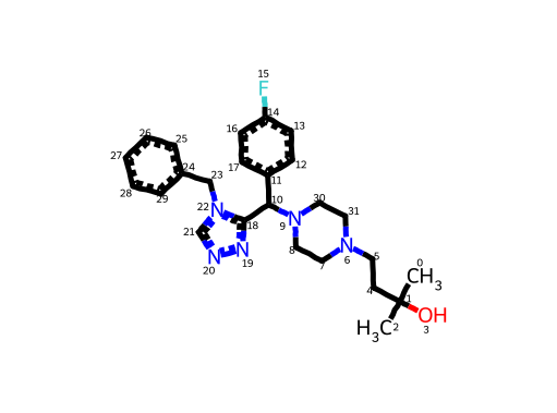 CC(C)(O)CCN1CCN(C(c2ccc(F)cc2)c2nncn2Cc2ccccc2)CC1